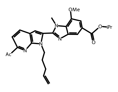 C=CCCCn1c(-c2nc3cc(C(=O)OC(C)C)cc(OC)c3n2C)cc2ccc(C(C)=O)nc21